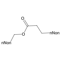 CCCCCCCCCCCC(=O)OCCCCCCCCCC